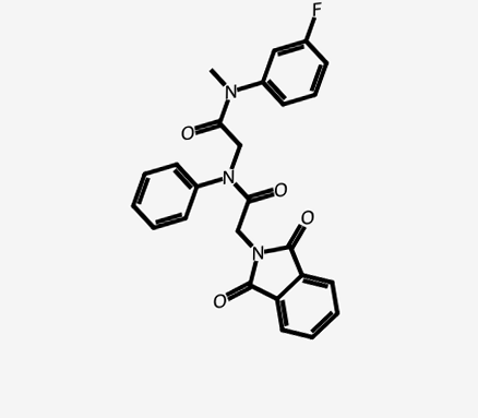 CN(C(=O)CN(C(=O)CN1C(=O)c2ccccc2C1=O)c1ccccc1)c1cccc(F)c1